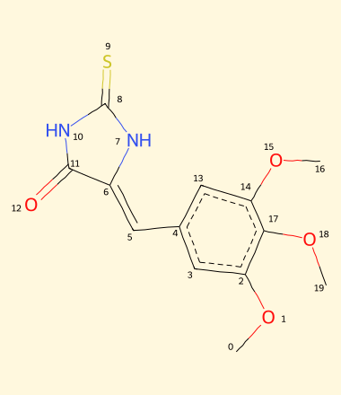 COc1cc(/C=C2\NC(=S)NC2=O)cc(OC)c1OC